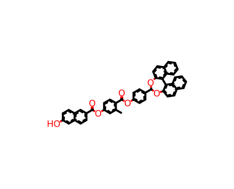 Cc1cc(OC(=O)c2ccc3cc(O)ccc3c2)ccc1C(=O)Oc1ccc(C2Oc3ccc4ccccc4c3-c3c(ccc4ccccc34)O2)cc1